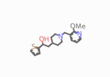 COc1ncccc1CN1CCC(CC(O)c2cccs2)CC1